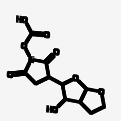 O=C(O)ON1C(=O)CC(C2OC3OCCC3C2O)C1=O